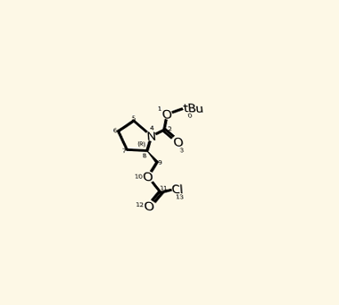 CC(C)(C)OC(=O)N1CCC[C@@H]1COC(=O)Cl